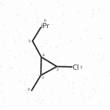 C[C]1C(Cl)C1CC(C)C